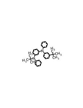 CC(C)(C)c1cccc(N(c2ccccc2)c2cccc(N(c3ccccc3)C(C)(C)C)c2)c1